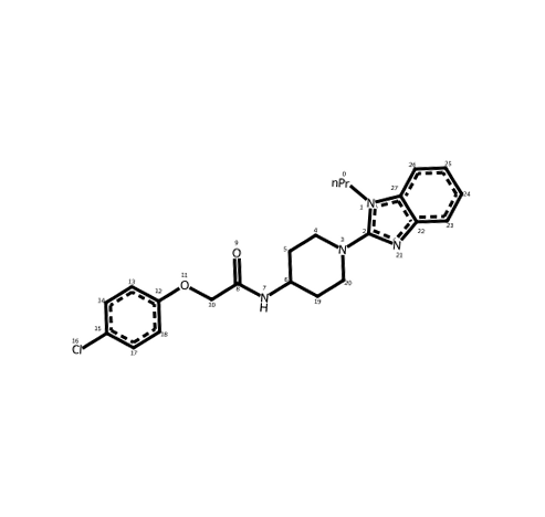 CCCn1c(N2CCC(NC(=O)COc3ccc(Cl)cc3)CC2)nc2ccccc21